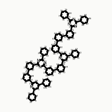 c1ccc(-c2cc(-c3ccccc3)nc(-c3cccc(-c4cccc(-c5nc(-c6ccccc6)nc(-c6cccc(-c7cccc(-c8cc(-c9ccccc9)cc(-c9cccc(-c%10cccc(-c%11cccc(-c%12nc(-c%13ccccc%13)nc(-c%13ccccc%13)n%12)c%11)c%10)c9)n8)c7)c6)n5)c4)c3)c2)cc1